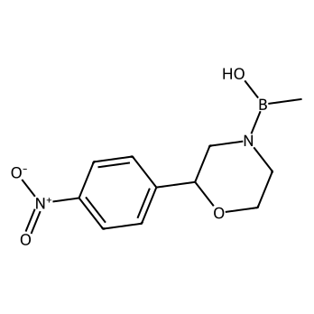 CB(O)N1CCOC(c2ccc([N+](=O)[O-])cc2)C1